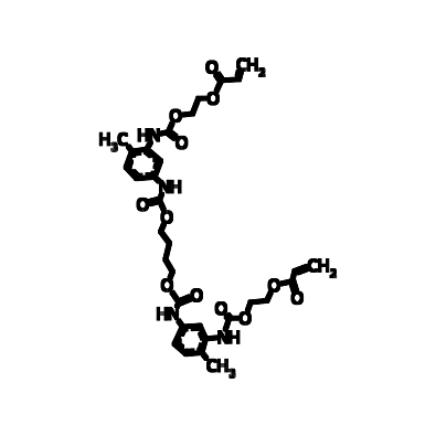 C=CC(=O)OCCOC(=O)Nc1cc(NC(=O)OCCCCOC(=O)Nc2ccc(C)c(NC(=O)OCCOC(=O)C=C)c2)ccc1C